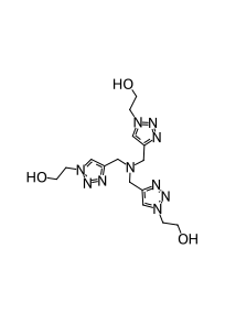 OCCn1cc(CN(Cc2cn(CCO)nn2)Cc2cn(CCO)nn2)nn1